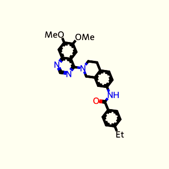 CCc1ccc(C(=O)Nc2ccc3c(c2)CN(c2ncnc4cc(OC)c(OC)cc24)CC3)cc1